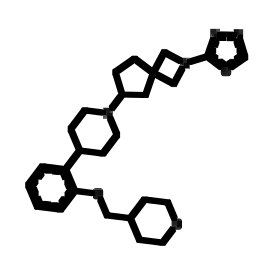 c1ccc(C2CCN(C3CCC4(C3)CN(c3nnco3)C4)CC2)c(OCC2CCOCC2)c1